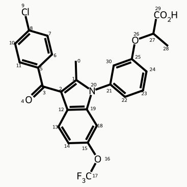 Cc1c(C(=O)c2ccc(Cl)cc2)c2ccc(OC(F)(F)F)cc2n1-c1cccc(OC(C)C(=O)O)c1